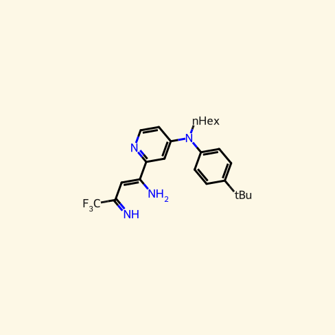 CCCCCCN(c1ccc(C(C)(C)C)cc1)c1ccnc(/C(N)=C/C(=N)C(F)(F)F)c1